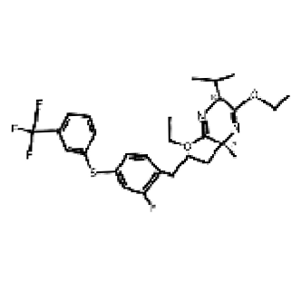 CCOC1=N[C@](C)(CCCc2ccc(Sc3cccc(C(F)(F)F)c3)cc2F)C(OCC)=N[C@H]1C(C)C